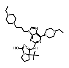 CCN1CCN(CCCn2cnc3c(N4CCN(CC)CC4)nc(NC(=O)C4(C(C)(C)C)CCCN4C(=O)O)nc32)CC1